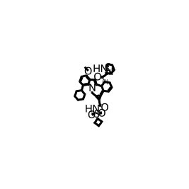 COc1ccc(C2CCCCC2)c2c1cc1n2CC2=C(C(=O)NS(=O)(=O)C3CCC3)C2=C2C=CC[C@@H](C(=O)N3CC4CCC3CN4)C21